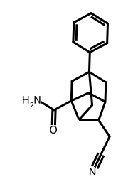 N#CCC1C2CC3(c4ccccc4)CC1C(C(N)=O)(C2)C3